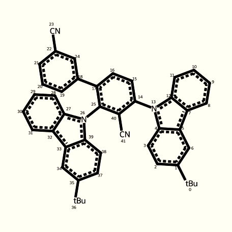 CC(C)(C)c1ccc2c(c1)c1ccccc1n2-c1ccc(-c2cccc(C#N)c2)c(-n2c3ccccc3c3cc(C(C)(C)C)ccc32)c1C#N